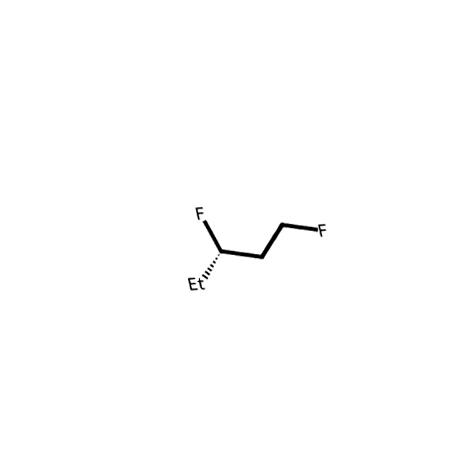 [CH2]C[C@H](F)CCF